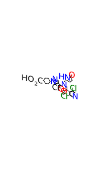 O=C1CC[C@@H](CN(CC(=O)c2c(Cl)cncc2Cl)C(=O)c2cnn(C3CCC(C(=O)O)CC3)c2C(F)(F)F)N1